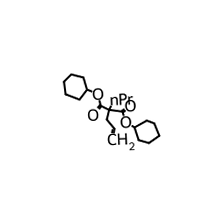 C=CCC(CCC)(C(=O)OC1CCCCC1)C(=O)OC1CCCCC1